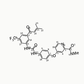 CNC(=O)c1cc(Oc2ccc(NC(=O)Nc3cc(C(=O)C=C(C)C)cc(C(F)(F)F)c3)cc2)ccn1